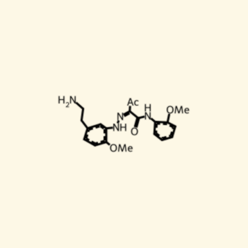 COc1ccc(CCN)cc1N/N=C(/C(C)=O)C(=O)Nc1ccccc1OC